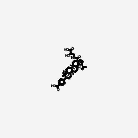 C=C(C)[C@@H]1CC[C@]2(C(=O)NCC(O)C(=O)O)CC[C@]3(C)[C@H](CC[C@@H]4[C@@]5(C)CC=C(c6ccc(C(=O)O)cc6)C(C)(C)[C@@H]5CC[C@]43C)[C@@H]12